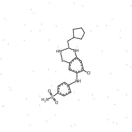 NS(=O)(=O)c1ccc(Nc2cc3c(cc2Cl)NC(CC2CCCC2)NS3)cc1